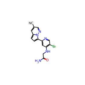 N#Cc1cnn2c(-c3cc(NCC(N)=O)c(Br)cn3)ccc2c1